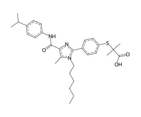 CCCCCCn1c(-c2ccc(SC(C)(C)C(=O)O)cc2)nc(C(=O)Nc2ccc(C(C)C)cc2)c1C